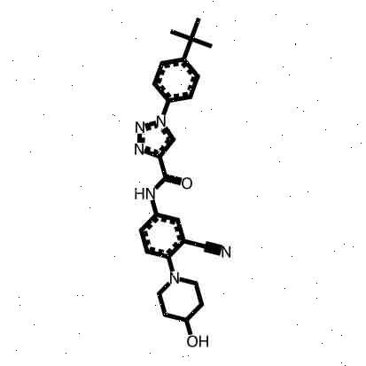 CC(C)(C)c1ccc(-n2cc(C(=O)Nc3ccc(N4CCC(O)CC4)c(C#N)c3)nn2)cc1